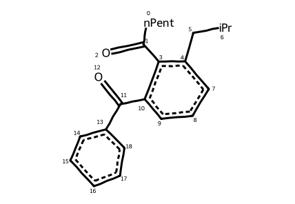 CCCCCC(=O)c1c(CC(C)C)cccc1C(=O)c1ccccc1